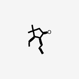 C=C/C=C1/C(=O)CC(C)(C)/C1=C/C